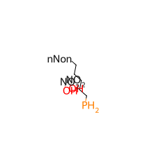 CCCCCCCCCCCCCCP.O=[N+]([O-])O.O=[N+]([O-])O